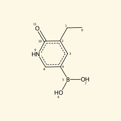 CCc1cc(B(O)O)c[nH]c1=O